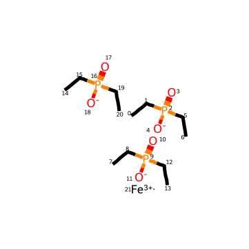 CCP(=O)([O-])CC.CCP(=O)([O-])CC.CCP(=O)([O-])CC.[Fe+3]